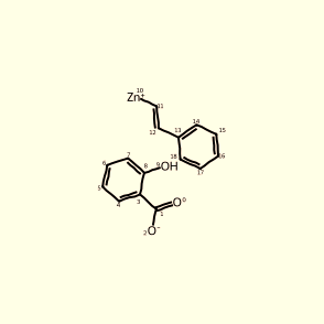 O=C([O-])c1ccccc1O.[Zn+][CH]=Cc1ccccc1